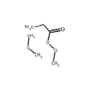 CCC(=O)OOC.COC